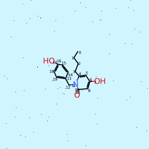 CCCCc1cc(O)cc(=O)n1Cc1ccc(O)cc1